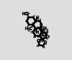 C[C@]12CC[C@H](O)C[C@@H]1CC[C@]1(C)[C@@H]2CC[C@@]2(C)[C@H]1CCC21OCCO1